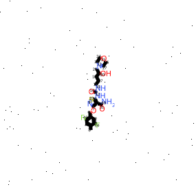 Cc1cc(F)c(COc2nsc(NC(=O)NCCCC(O)CN3CCOCC3)c2C(N)=O)cc1F